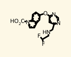 O=C(O)n1ccc2cc(Oc3cc(CNCC(F)F)ncn3)ccc21